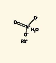 O.O=[N+]([O-])[O-].[Rb+]